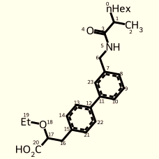 CCCCCCC(C)C(=O)NCc1cccc(-c2ccc(CC(OCC)C(=O)O)cc2)c1